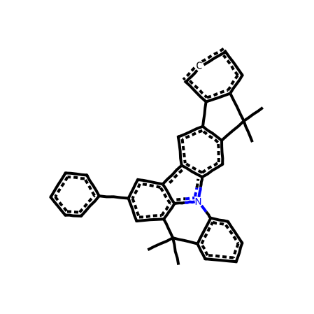 CC1(C)c2ccccc2-c2cc3c4cc(-c5ccccc5)cc5c4n(c3cc21)-c1ccccc1C5(C)C